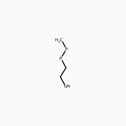 CCCCC[P][P]C